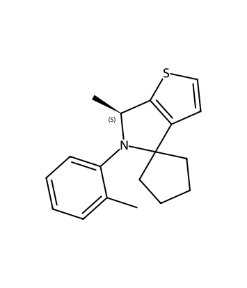 Cc1ccccc1N1[C@@H](C)c2sccc2C12CCCC2